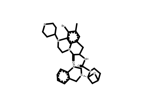 Cc1cc(CC(NC(=O)N2CCC3C[C@]2(N2CNc4ccccc4C2)O3)C(=O)N2CCN(C3CC[N]CC3)CC2)ccc1Br